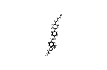 CCCCC[C@H]1CC[C@H](C2CC=C(CCc3ccc(OCCC)c(F)c3)CC2)CC1